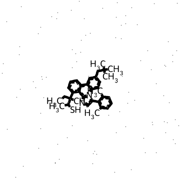 CCC(C)(c1cccc2c3cc(CC(C)(C)C)ccc3n3c(-c4c(C)cccc4C)cnc3c12)C(C)S